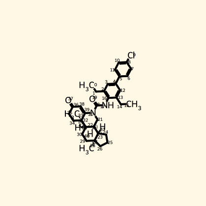 CCc1cc(-c2ccc(Cl)cc2)cc(CC)c1NC(=O)N1C[C@H]2[C@@H]3CCC[C@@]3(C)CC[C@@H]2[C@@]2(C)CCC(=O)C=C12